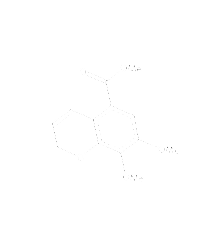 COC(=O)c1cc(OC)c(OC)c2c1C=CCO2